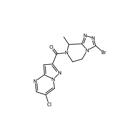 CC1c2nnc(Br)n2CCN1C(=O)c1cc2ncc(Cl)cn2n1